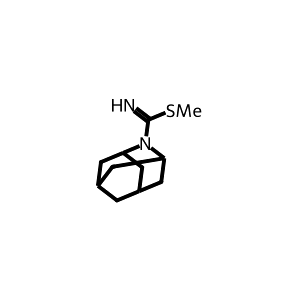 CSC(=N)N1C2CC3CC(C2)CC1C3